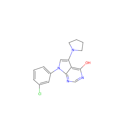 Oc1ncnc2c1c(N1CCCC1)cn2-c1cccc(Cl)c1